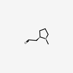 CN1CCC[C@@H]1CC=O